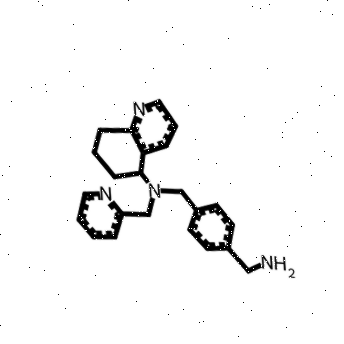 NCc1ccc(CN(Cc2ccccn2)C2CCCc3ncccc32)cc1